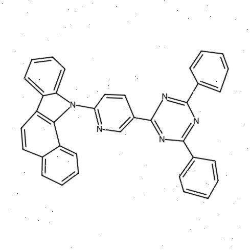 c1ccc(-c2nc(-c3ccccc3)nc(-c3ccc(-n4c5ccccc5c5ccc6ccccc6c54)nc3)n2)cc1